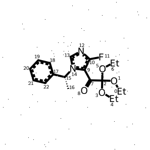 CCOC(OCC)(OCC)C(=O)c1c(F)ncn1[C@H](C)c1ccccc1